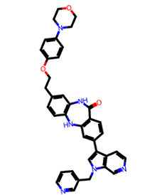 O=C1Nc2cc(CCOc3ccc(N4CCOCC4)cc3)ccc2Nc2cc(-c3cn(Cc4cccnc4)c4cnccc34)ccc21